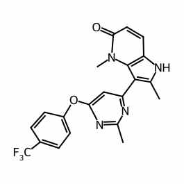 Cc1nc(Oc2ccc(C(F)(F)F)cc2)cc(-c2c(C)[nH]c3ccc(=O)n(C)c23)n1